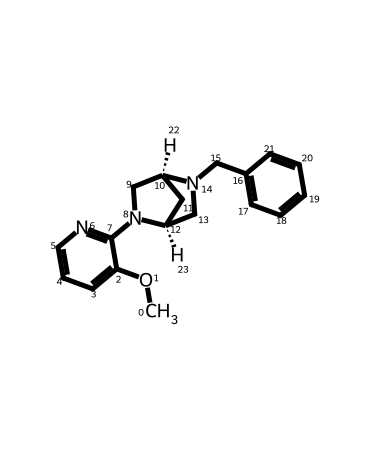 COc1cccnc1N1C[C@@H]2C[C@H]1CN2Cc1ccccc1